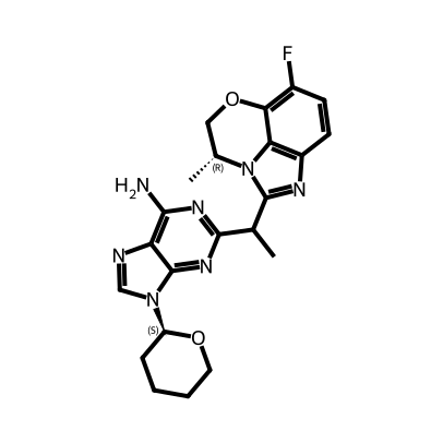 CC(c1nc(N)c2ncn([C@@H]3CCCCO3)c2n1)c1nc2ccc(F)c3c2n1[C@H](C)CO3